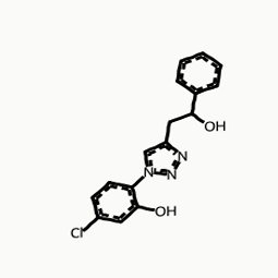 Oc1cc(Cl)ccc1-n1cc(CC(O)c2ccccc2)nn1